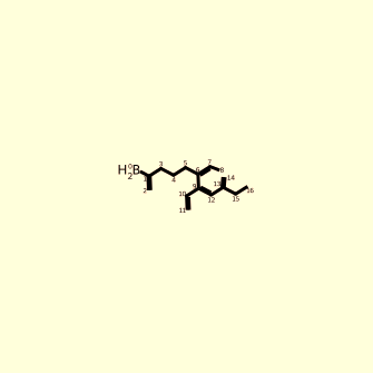 BC(=C)CCCC(=C/C)/C(C=C)=C\C(=C)CC